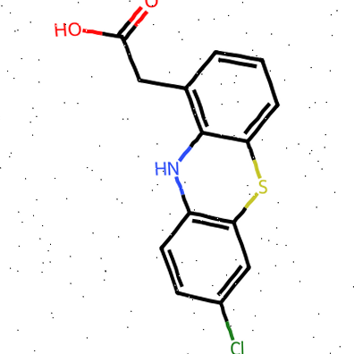 O=C(O)Cc1cccc2c1Nc1ccc(Cl)cc1S2